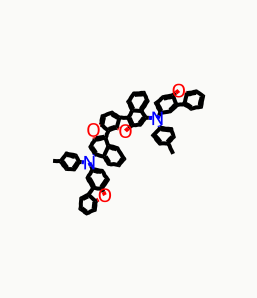 Cc1ccc(N(c2ccc3oc4ccccc4c3c2)c2cc3oc4c(ccc5oc6cc(N(c7ccc(C)cc7)c7ccc8oc9ccccc9c8c7)c7ccccc7c6c54)c3c3ccccc23)cc1